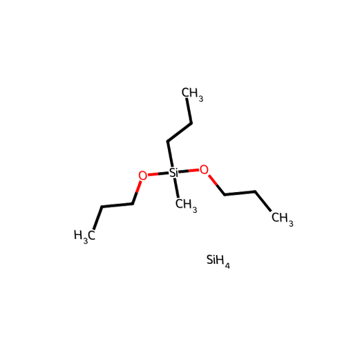 CCCO[Si](C)(CCC)OCCC.[SiH4]